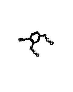 CC(C)(C)c1ccc(N=C=O)cc1N=C=O